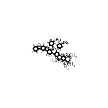 CC(C)(C)c1ccc(Nc2cc3c(cc2-c2ccc4c5cc6c(cc5n5c4c2Bc2cc(C(C)(C)C)ccc2-5)oc2ccccc26)C(C)(C)c2cc4c(cc2-3)C(C)(C)CCC4(C)C)cc1